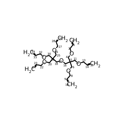 C=CCOCC(COCC=C)(COCC=C)COCC(COCC=C)(COCC=C)COCC=C